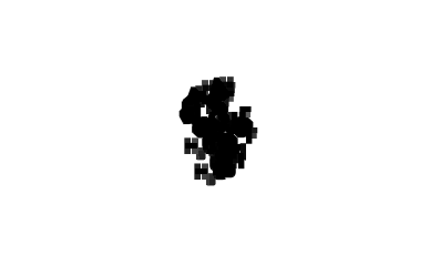 Cn1nc(NS(C)(=O)=O)c2c(Cl)ccc(-n3c([C@H](Cc4cc(F)cc(F)c4)NC(=O)Cn4nc(C(F)F)c5c4C(F)(F)[C@@H]4C[C@H]54)nc4cc(-c5ccn(CC6CC6)n5)ccc4c3=O)c21